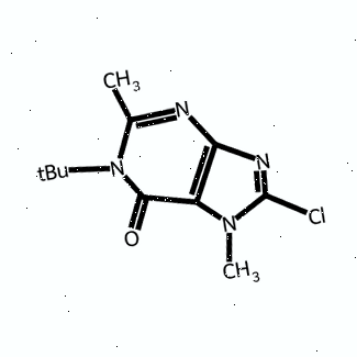 Cc1nc2nc(Cl)n(C)c2c(=O)n1C(C)(C)C